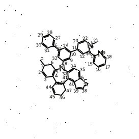 CC1C=CC2=C(C1)N(c1cc(C3=C[C@H](c4ccccn4)N(C)C=C3)cc(-c3ccccc3)c1)c1ccc3sccc3c1C1=C2C=CCC1